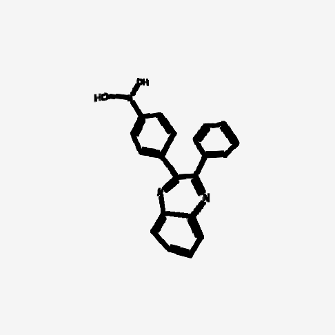 OB(O)c1ccc(-c2nc3ccccc3nc2-c2ccccc2)cc1